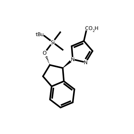 CC(C)(C)[Si](C)(C)O[C@H]1Cc2ccccc2[C@@H]1n1cc(C(=O)O)cn1